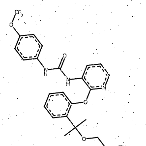 CC(C)(OCCO)c1ccccc1Oc1ncccc1NC(=O)Nc1ccc(OC(F)(F)F)cc1